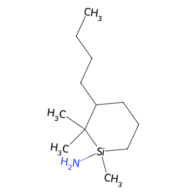 CCCCC1CCC[Si](C)(N)C1(C)C